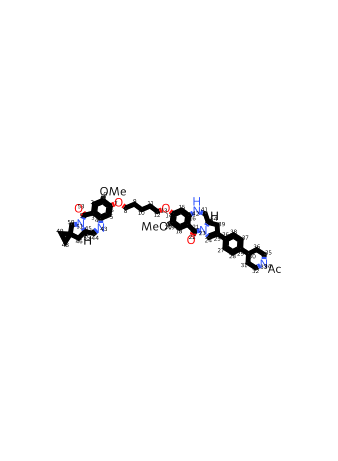 COc1cc2c(cc1OCCCCCOc1cc3c(cc1OC)C(=O)N1C=C(c4ccc(C5CCN(C(C)=O)CC5)cc4)C[C@H]1CN3)N=C[C@@H]1CC3(CC3)CN1C2=O